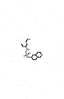 C=C/C(=C\C=C/C)NCS(=O)(=O)Nc1ccc2cnccc2c1